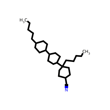 CCCCCC1CCC(C2CCC(C3(CCCCC)CCC(C#N)CC3)CC2)CC1